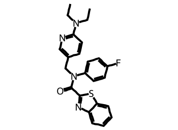 CCN(CC)c1ccc(CN(C(=O)c2nc3ccccc3s2)c2ccc(F)cc2)cn1